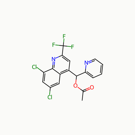 CC(=O)OC(c1ccccn1)c1cc(C(F)(F)F)nc2c(Cl)cc(Cl)cc12